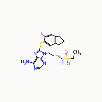 CCS(=O)(=O)NCCCn1c(Sc2cc3c(cc2I)CCC3)nc2c(N)ncnc21